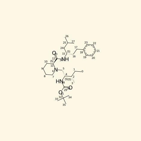 CC[C@H](C)[C@@H](CN1CCCC[C@H]1C(=O)N[C@@H](CCc1ccccc1)CC(C)C)NC(=O)OC(C)(C)C